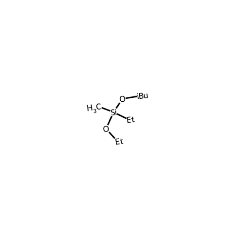 CCO[Si](C)(CC)OC(C)CC